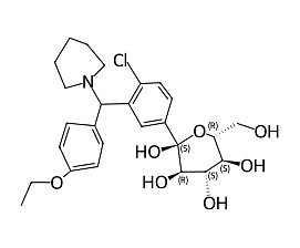 CCOc1ccc(C(c2cc([C@]3(O)O[C@H](CO)[C@@H](O)[C@H](O)[C@H]3O)ccc2Cl)N2CCCCC2)cc1